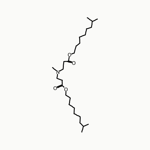 CC(C)CCCCCCCOC(=O)CCN(C)CCC(=O)OCCCCCCCC(C)C